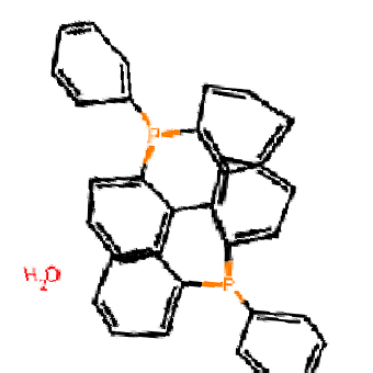 O.c1ccc(P(c2ccccc2)c2ccccc2-c2ccccc2P(c2ccccc2)c2ccccc2)cc1